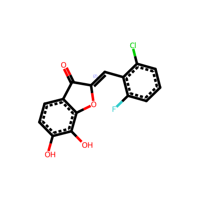 O=C1/C(=C/c2c(F)cccc2Cl)Oc2c1ccc(O)c2O